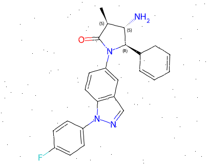 C[C@@H]1C(=O)N(c2ccc3c(cnn3-c3ccc(F)cc3)c2)[C@H](C2C=CC=CC2)[C@H]1N